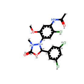 COc1cc(NC(C)=O)c(Cl)cc1N1C(c2cc(Cl)cc(Cl)c2)OC(=O)N1C